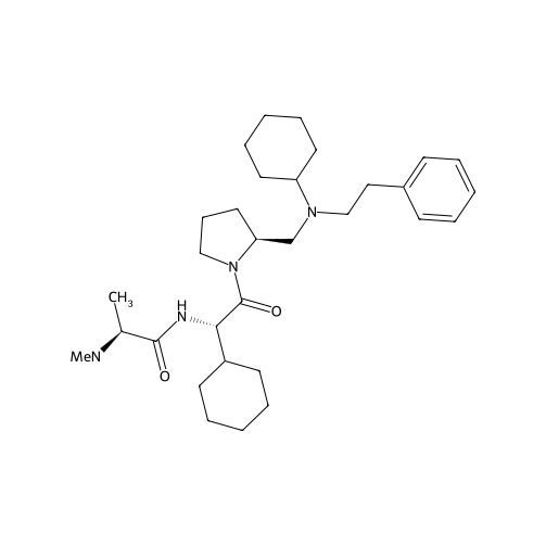 CN[C@@H](C)C(=O)N[C@H](C(=O)N1CCC[C@H]1CN(CCc1ccccc1)C1CCCCC1)C1CCCCC1